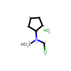 Cl.O=S(=O)(O)N(CCl)C1CCCC1